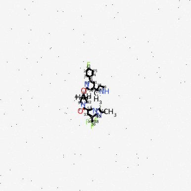 Cc1cn2cc(C(=O)N3C[C@@H]4C(Oc5cc(C6(C)CCN6)cc(-c6ccc(F)cc6)n5)[C@@H]4C3)cc(C(F)(F)F)c2n1